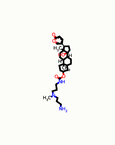 CN(CCCN)CCCNC(=O)OC1CCC2(C)C(CC[C@@H]3[C@@H]2CCC2(C)[C@@H](c4ccc(=O)oc4)CCC32O)C1